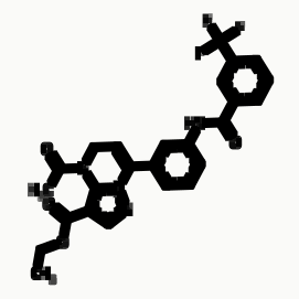 CCOC(=O)c1cnn2c1N(C(C)=O)CC=C2c1cccc(NC(=O)c2cccc(C(F)(F)F)c2)c1